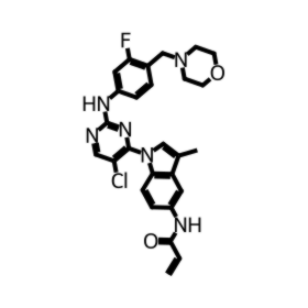 C=CC(=O)Nc1ccc2c(c1)c(C)cn2-c1nc(Nc2ccc(CN3CCOCC3)c(F)c2)ncc1Cl